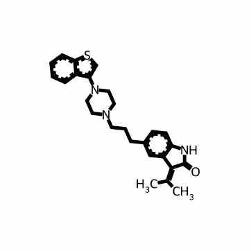 CC(C)=C1C(=O)Nc2ccc(CCCN3CCN(c4csc5ccccc45)CC3)cc21